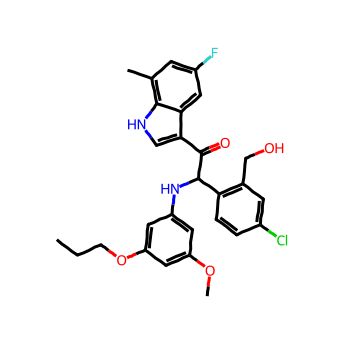 CCCOc1cc(NC(C(=O)c2c[nH]c3c(C)cc(F)cc23)c2ccc(Cl)cc2CO)cc(OC)c1